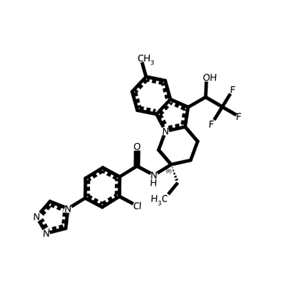 CC[C@@]1(NC(=O)c2ccc(-n3cnnc3)cc2Cl)CCc2c(C(O)C(F)(F)F)c3cc(C)ccc3n2C1